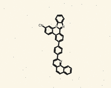 [C-]#[N+]c1ccc2c3cc(-c4ccc(-c5ccc6ccc7ccccc7c6n5)cc4)ccc3c3nc4ccccc4n3c2c1